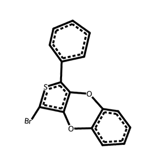 Brc1sc(-c2ccccc2)c2c1Oc1ccccc1O2